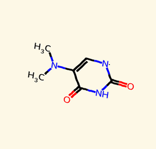 CN(C)C1=C[N]C(=O)NC1=O